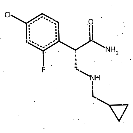 NC(=O)[C@H](CNCC1CC1)c1ccc(Cl)cc1F